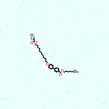 C=CC(=O)OCCCCCCCCCCCCOc1ccc(-c2ccc(C(=O)OCCCCCC(C)CC)cc2)cc1